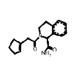 NC(=O)C1c2cc[c]cc2CCN1C(=O)CC1=CCCC1